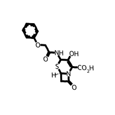 O=C(COc1ccccc1)NC1S[C@@H]2CC(=O)N2C(C(=O)O)=C1O